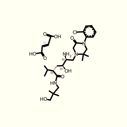 CC(C)[C@H](C[C@H](O)[C@@H](N)CN1CC(=O)N(c2ccccc2Cl)CC1(C)C)C(=O)NCC(C)(C)CO.O=C(O)/C=C/C(=O)O